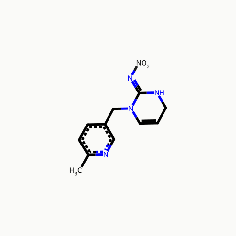 Cc1ccc(CN2C=CCNC2=N[N+](=O)[O-])cn1